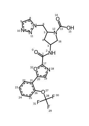 O=C(NC1CC(Cn2ccnn2)N(C(=O)O)C1)c1ncc(-c2ccccc2OC(F)(F)F)o1